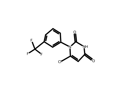 O=c1cc(Cl)n(-c2cccc(C(F)(F)F)c2)c(=O)[nH]1